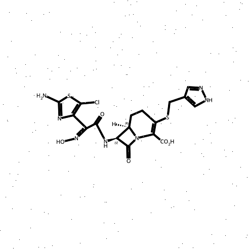 Nc1nc(C(=NO)C(=O)N[C@@H]2C(=O)N3C(C(=O)O)=C(SCc4cn[nH]c4)CC[C@H]23)c(Cl)s1